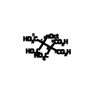 CCCCCCCCC(C(=O)O)(C(=O)O)C(C(=O)O)(C(=O)O)C(=O)O